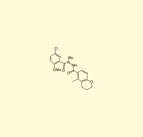 COc1ccc(Cl)cc1C(=O)N(NC(=O)c1ccc2c(c1C)CCCO2)C(C)(C)C